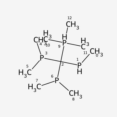 CPC(P(C)C)(P(C)C)[PH](C)(C)C